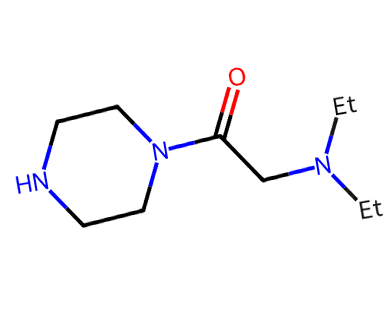 CCN(CC)CC(=O)N1CCNCC1